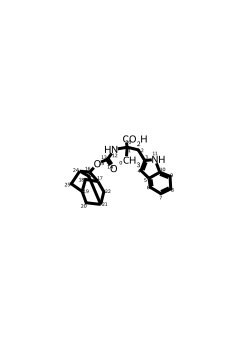 CC(Cc1cc2ccccc2[nH]1)(NC(=O)OC1C2CC3CC(C2)CC1C3)C(=O)O